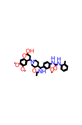 COc1cc(C(NC(C)=O)C2CCN(C(CC(=O)O)c3ccc(OC)c(OC)c3)CC2)ccc1NC(=O)Nc1ccccc1C